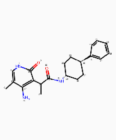 Cc1c[nH]c(=O)c(C(C)C(=O)N[C@H]2CC[C@H](c3ccccc3)CC2)c1N